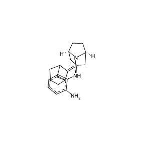 Nc1ccccc1N[C@H]1C[C@H]2CC[C@@H](C1)N2C=C1C2CCCC1C2